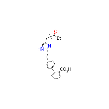 CCC(=O)C(C)(C)Cc1c[nH]c(CCc2ccc(-c3ccccc3C(=O)O)cc2)n1